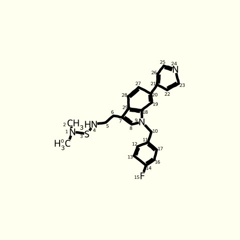 CN(C)SNCCc1cn(Cc2ccc(F)cc2)c2cc(-c3ccncc3)ccc12